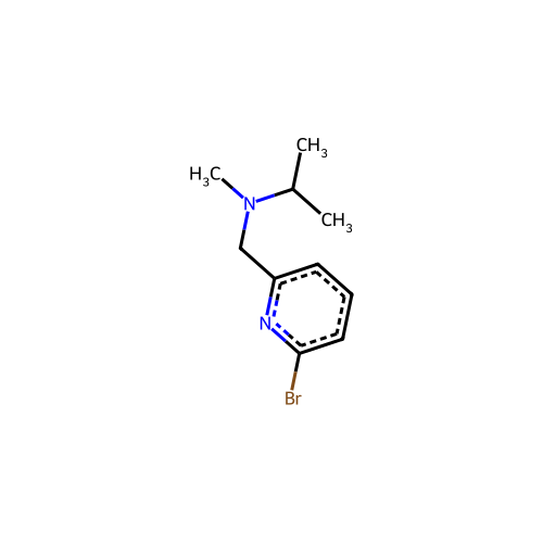 CC(C)N(C)Cc1cccc(Br)n1